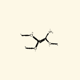 COC([SiH3])=C(OC)OC